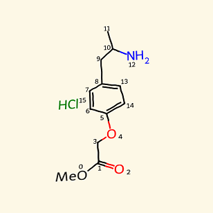 COC(=O)COc1ccc(CC(C)N)cc1.Cl